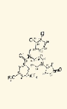 CN(C(=O)c1cc(C(F)(F)F)cc(C(F)(F)F)c1)[C@@H]1CCN(C2=CC(=O)CC2)C[C@H]1c1ccc(Cl)c(Cl)c1